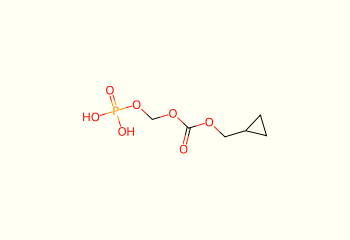 O=C(OCOP(=O)(O)O)OCC1CC1